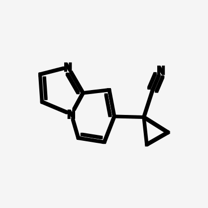 N#CC1(c2ccn3ccnc3c2)CC1